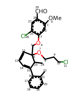 COc1cc(OCC2(OCCCCl)C=CC=C(c3ccccc3C)C2C)c(Cl)cc1C=O